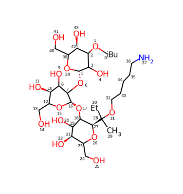 CCC(C)OC1C(O)[C@H](OC2C(O)[C@H](O)C(CO)O[C@@H]2OC2C(O)[C@H](O)C(CO)O[C@@H]2C(C)(CC)OCCCCCN)OC(CO)[C@H]1O